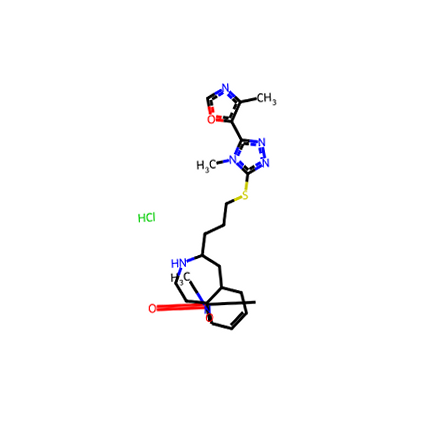 Cc1ncoc1-c1nnc(SCCCC2CC3CC=CC4OCC(=O)N(C)C34CCN2)n1C.Cl